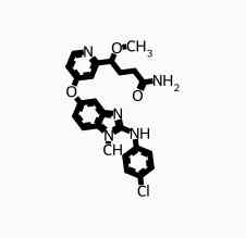 COC(CCC(N)=O)c1cc(Oc2ccc3c(c2)nc(Nc2ccc(Cl)cc2)n3C)ccn1